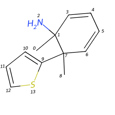 CC1(N)C=CC=CC1(C)c1cccs1